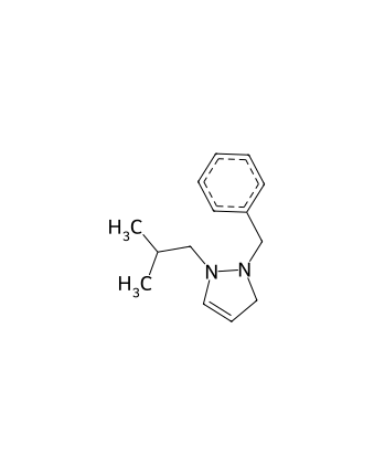 CC(C)CN1C=CCN1Cc1ccccc1